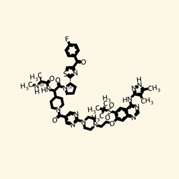 CN[C@@H](C)C(=O)NC(C(=O)N1CCC[C@H]1c1nc(C(=O)c2ccc(F)cc2)cs1)C1CCN(C(=O)c2cnc(N3CCN(CCOc4cc5ncnc(Nc6n[nH]c(C)c6C)c5cc4S(=O)(=O)C(C)(C)C)CC3)nc2)CC1